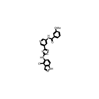 COc1cccc(C(=O)Nc2cncc(-c3nsc(Nc4ccc5[nH]ncc5c4Cl)n3)c2)c1